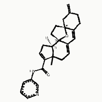 C=C1CCC2=CC3=CCC4(C)C(C(=O)Nc5cccnc5)=CC[C@H]4[C@@]34CC[C@]2(C1)O4